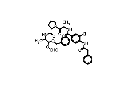 CC(NC(=O)[C@@H]1CCCN1C(=O)[C@H](C)NC(=O)c1ccc(NC(=O)Cc2ccccc2)c(Cl)c1)C(OC=O)OCc1ccccc1